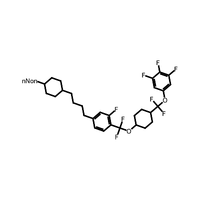 CCCCCCCCCC1CCC(CCCCc2ccc(C(F)(F)OC3CCC(C(F)(F)Oc4cc(F)c(F)c(F)c4)CC3)c(F)c2)CC1